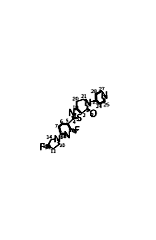 O=C1c2sc(-c3ccc(N4CC[C@H](F)C4)nc3F)nc2CCN1c1ccncc1